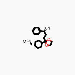 CNC.N#CC(CCC1(C2CCCCC2)OCCO1)c1ccccc1